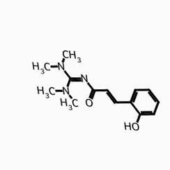 CN(C)C(=NC(=O)/C=C/c1ccccc1O)N(C)C